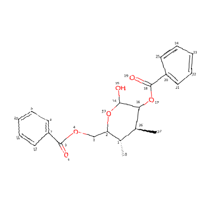 C[C@@H]1C(COC(=O)c2ccccc2)OC(O)C(OC(=O)c2ccccc2)[C@H]1C